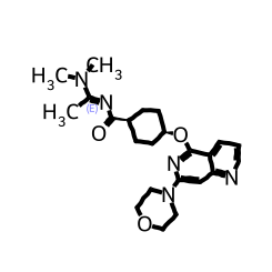 C/C(=N\C(=O)[C@H]1CC[C@@H](Oc2nc(N3CCOCC3)cc3ncccc23)CC1)N(C)C